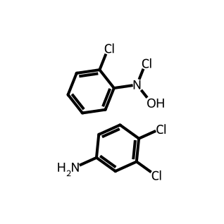 Nc1ccc(Cl)c(Cl)c1.ON(Cl)c1ccccc1Cl